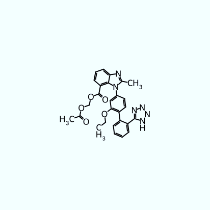 CCOc1cc(-n2c(C)nc3cccc(C(=O)OCOC(C)=O)c32)ccc1-c1ccccc1-c1nnn[nH]1